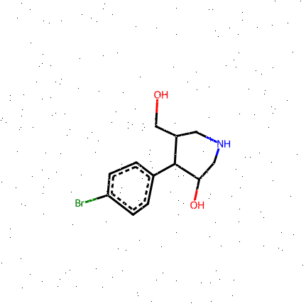 OCC1CNCC(O)C1c1ccc(Br)cc1